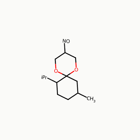 CC1CCC(C(C)C)C2(C1)OCC(N=O)CO2